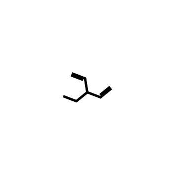 C=CC(C=C)CC